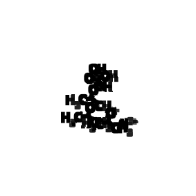 CC(C)[O-].CC(C)[O-].CC(C)[O-].O=P(O)(O)O.[Al+3]